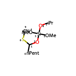 CCCCCC(O[Si](OC)(OC)OC(C)C)SC#N